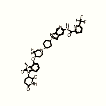 Cn1c(=O)n(C2CCC(=O)NC2=O)c2cccc(OC3CCN([C@H]4CC[C@H](n5cc6cc(NC(=O)c7cccc(C(F)(F)F)n7)ncc6n5)CC4)CC3(F)F)c21